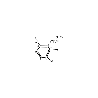 Cc1ccc([O-])cc1C.[Cl-].[Zr+2]